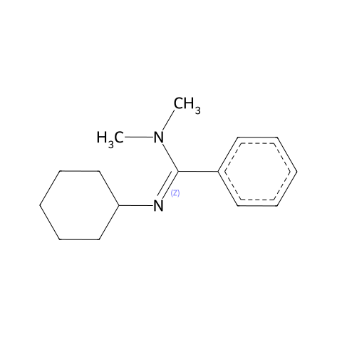 CN(C)/C(=N\C1CCCCC1)c1ccccc1